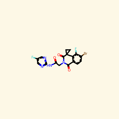 O=C(CN1C(=O)c2ccc(Br)c(F)c2C2(CC2)C1=O)Nc1ncc(F)cn1